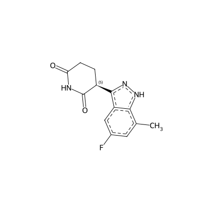 Cc1cc(F)cc2c([C@@H]3CCC(=O)NC3=O)n[nH]c12